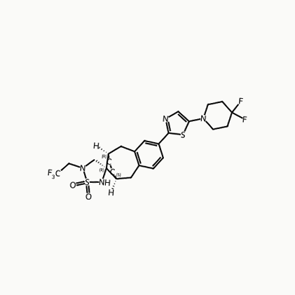 O=S1(=O)N[C@@]2(CN1CC(F)(F)F)[C@@H]1CC[C@H]2Cc2ccc(-c3ncc(N4CCC(F)(F)CC4)s3)cc2C1